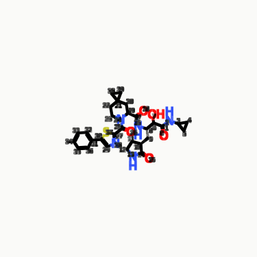 O=C(NC1CC1)C(O)[C@H](C[C@@H]1CCNC1=O)NC(=O)[C@@H]1CC2(CCN1C(=O)c1ncc(-c3ccccc3)s1)CC2